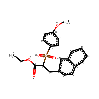 CCOC(=O)C(Cc1ccc2ccccc2c1)S(=O)(=O)c1ccc(OC)cc1